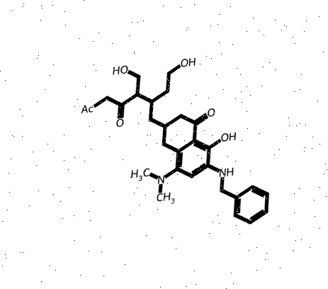 CC(=O)CC(=O)C(CO)C(CCO)CC1CC(=O)c2c(O)c(NCc3ccccc3)cc(N(C)C)c2C1